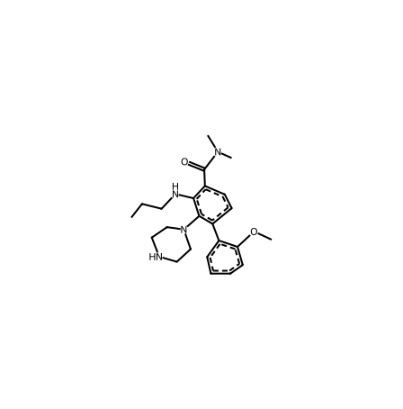 CCCNc1c(C(=O)N(C)C)ccc(-c2ccccc2OC)c1N1CCNCC1